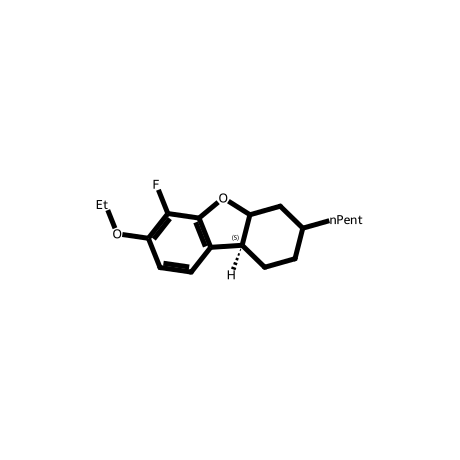 CCCCCC1CC[C@H]2c3ccc(OCC)c(F)c3OC2C1